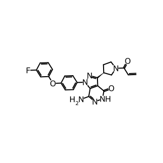 C=CC(=O)N1CC[C@H](c2nn(-c3ccc(Oc4cccc(F)c4)cc3)c3c(N)n[nH]c(=O)c23)C1